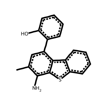 Cc1cc(-c2ccccc2O)c2c(sc3ccccc32)c1N